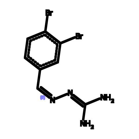 NC(N)=N/N=C\c1ccc(Br)c(Br)c1